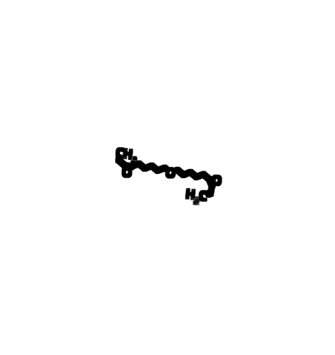 C=CC1OC1CCCCCOCCCCCC1OC1C=C